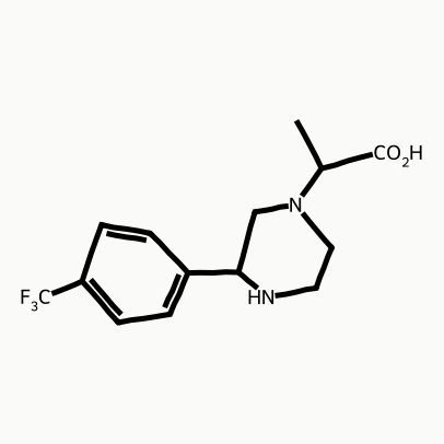 CC(C(=O)O)N1CCNC(c2ccc(C(F)(F)F)cc2)C1